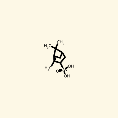 CC1=C2CC(CC1[As](=O)(O)O)C2(C)C